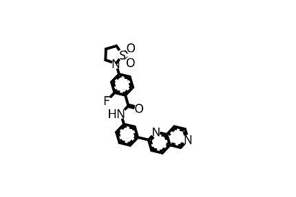 O=C(Nc1cccc(-c2ccc3cnccc3n2)c1)c1ccc(N2CCCS2(=O)=O)cc1F